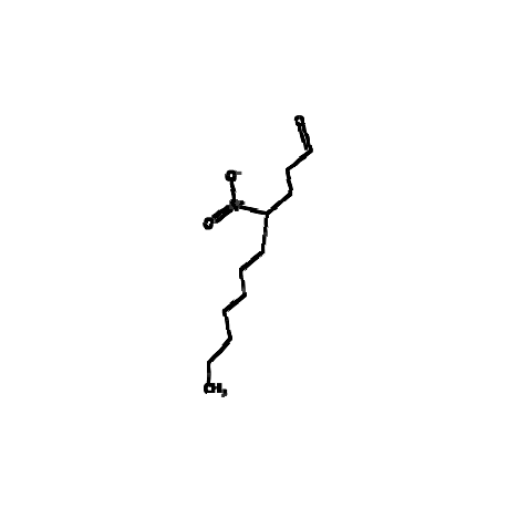 CCCCCCCC(CCC=O)[N+](=O)[O-]